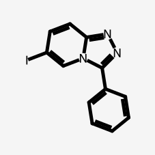 Ic1ccc2nnc(-c3ccccc3)n2c1